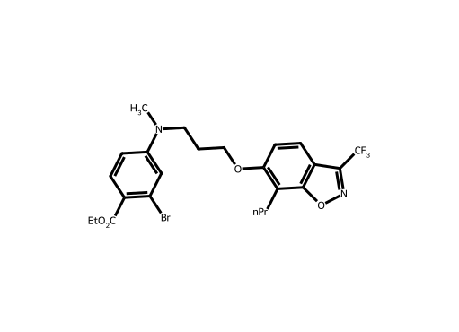 CCCc1c(OCCCN(C)c2ccc(C(=O)OCC)c(Br)c2)ccc2c(C(F)(F)F)noc12